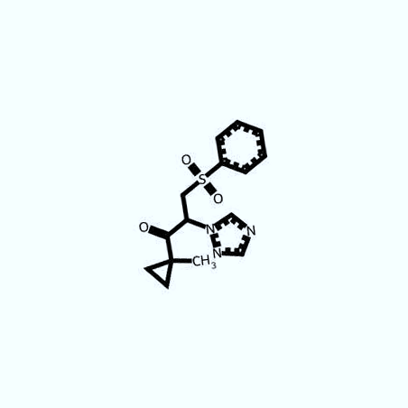 CC1(C(=O)C(CS(=O)(=O)c2ccccc2)n2cncn2)CC1